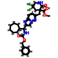 COC(=O)C1(Cc2ccc3nc(C(NC(=O)OCc4ccccc4)C4CCCCCC4)cn3n2)CC(F)(F)CNC1=O